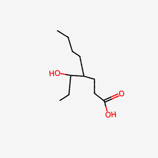 CCCCC(CCC(=O)O)C(O)CC